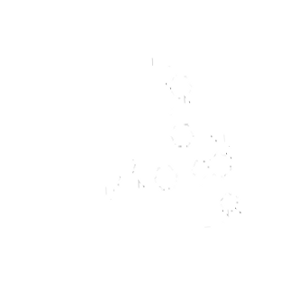 C=C(C)C(=O)Nc1ccc(-c2sc3c(-c4cnn(C)c4)cnc(N)c3c2-c2ccc(Oc3nccc(C)n3)cc2)c(CF)c1